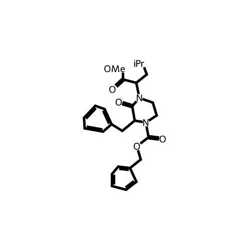 COC(=O)C(CC(C)C)N1CCN(C(=O)OCc2ccccc2)C(Cc2ccccc2)C1=O